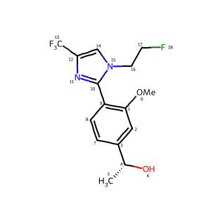 COc1cc([C@@H](C)O)ccc1-c1nc(C(F)(F)F)cn1CCF